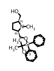 CN1[C@H](CO)CC[C@@H]1CO[Si](c1ccccc1)(c1ccccc1)C(C)(C)C